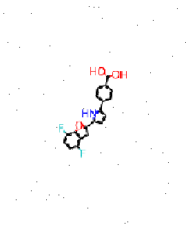 OC(O)c1ccc(-c2ccc(-c3cc4c(F)ccc(F)c4o3)[nH]2)cc1